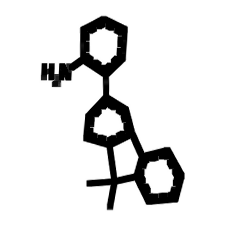 CC1(C)c2ccccc2-c2cc(-c3ccccc3N)ccc21